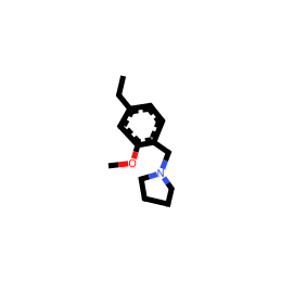 CCc1ccc(CN2CCCC2)c(OC)c1